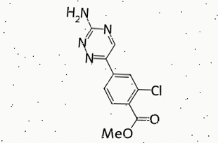 COC(=O)c1ccc(-c2cnc(N)nn2)cc1Cl